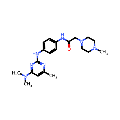 Cc1cc(N(C)C)nc(Nc2ccc(NC(=O)CN3CCN(C)CC3)cc2)n1